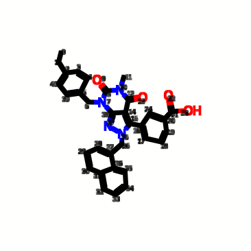 CCc1ccc(Cn2c(=O)n(C)c(=O)c3c(-c4cccc(C(=O)O)c4)n(Cc4cccc5ccccc45)nc32)cc1